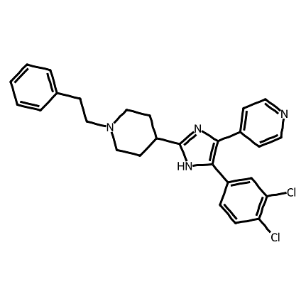 Clc1ccc(-c2[nH]c(C3CCN(CCc4ccccc4)CC3)nc2-c2ccncc2)cc1Cl